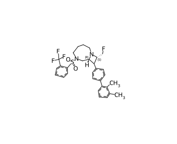 Cc1cccc(-c2ccc(C3[C@@H](CF)N4CCCCN(S(=O)(=O)c5ccccc5C(F)(F)F)C[C@@H]34)cc2)c1C